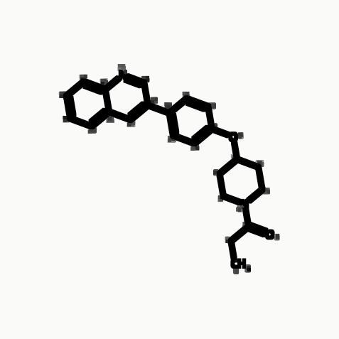 CCC(=O)N1CCC(Oc2ccc(-c3cnc4ccccc4c3)cc2)CC1